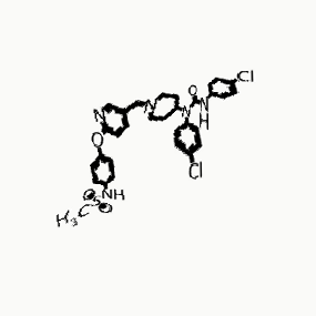 CS(=O)(=O)Nc1ccc(Oc2ccc(CN3CCC(N(C(=O)Nc4ccc(Cl)cc4)c4ccc(Cl)cc4)CC3)cn2)cc1